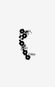 COc1ccccc1-c1ccc(C(=O)NS(=O)(=O)c2ccc(CN(CCSc3ccccc3)Cc3ccc(S(N)(=O)=O)cc3)cc2)cc1